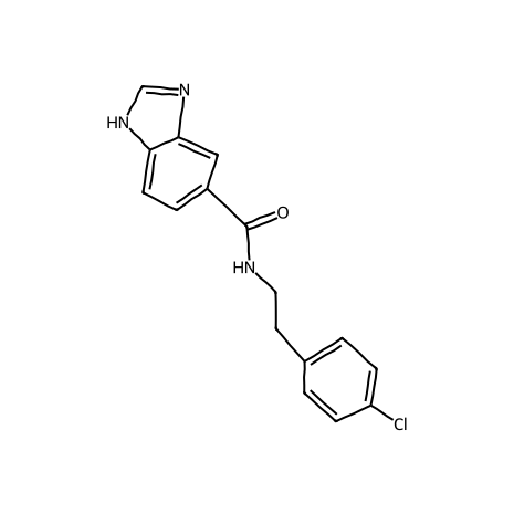 O=C(NCCc1ccc(Cl)cc1)c1ccc2[nH]cnc2c1